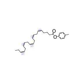 CC/C=C\C/C=C\C/C=C\C/C=C\C/C=C\CCCC(=O)Oc1ccc(C)cc1